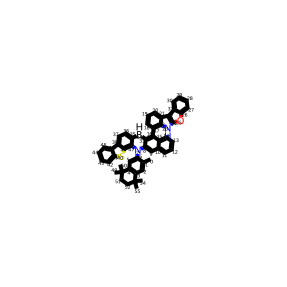 Cc1cc2c(cc1N1c3cc4ccccc4c(-c4cccc5c4[nH]c4oc6ccccc6c45)c3Bc3ccc4c(sc5ccccc54)c31)C(C)(C)CCC2(C)C